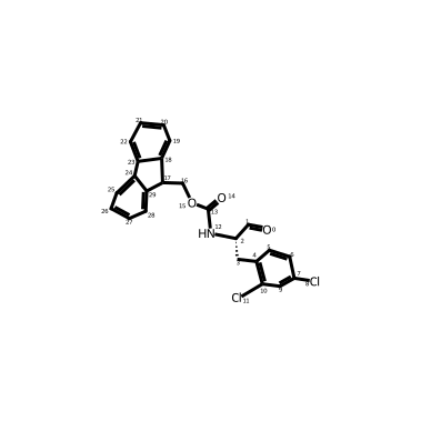 O=C[C@H](Cc1ccc(Cl)cc1Cl)NC(=O)OCC1c2ccccc2-c2ccccc21